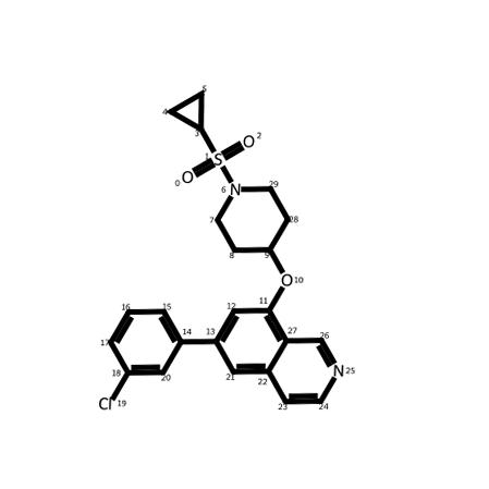 O=S(=O)(C1CC1)N1CCC(Oc2cc(-c3cccc(Cl)c3)cc3ccncc23)CC1